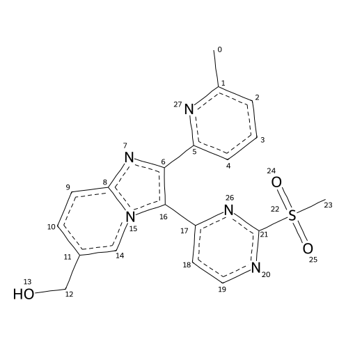 Cc1cccc(-c2nc3ccc(CO)cn3c2-c2ccnc(S(C)(=O)=O)n2)n1